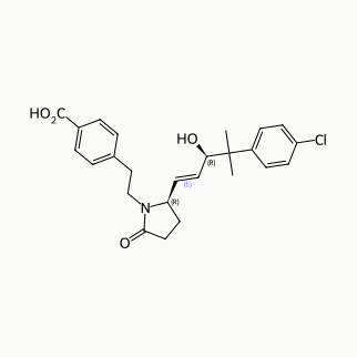 CC(C)(c1ccc(Cl)cc1)[C@H](O)/C=C/[C@H]1CCC(=O)N1CCc1ccc(C(=O)O)cc1